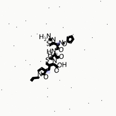 C=CCN1CC/C(=C\C2=C(C(=O)O)N3C(=O)[C@@H](NC(=O)/C(=N\OC4CCCC4)c4csc(N)n4)[C@H]3SC2)C1=O